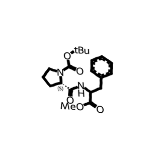 COC(=O)C(Cc1ccccc1)NC(=O)[C@@H]1CCCN1C(=O)OC(C)(C)C